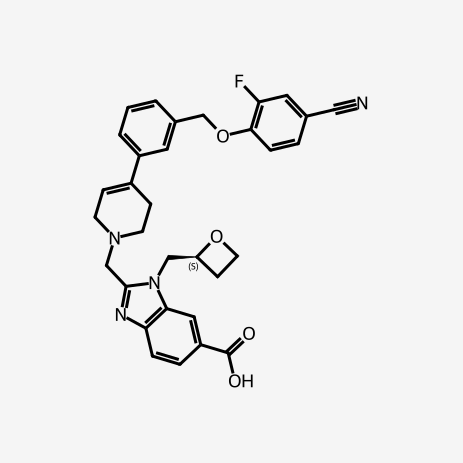 N#Cc1ccc(OCc2cccc(C3=CCN(Cc4nc5ccc(C(=O)O)cc5n4C[C@@H]4CCO4)CC3)c2)c(F)c1